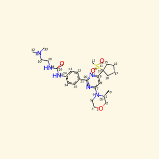 C[C@H]1COCCN1c1cc(C2(S(C)(=O)=O)CCCC2)nc(-c2ccc(NC(=O)NCCN(C)C)cc2)n1